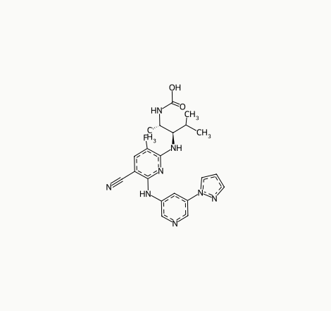 CC(C)[C@@H](Nc1nc(Nc2cncc(-n3cccn3)c2)c(C#N)cc1F)[C@H](C)NC(=O)O